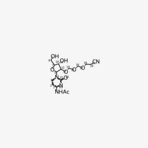 CC(=O)Nc1ccn(C2OC(CO)[C@H](O)C2OCOCOCCC#N)c(=O)n1